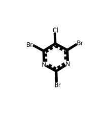 Clc1c(Br)nc(Br)nc1Br